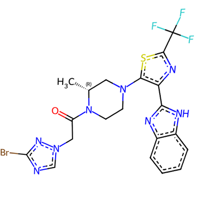 C[C@@H]1CN(c2sc(C(F)(F)F)nc2-c2nc3ccccc3[nH]2)CCN1C(=O)Cn1cnc(Br)n1